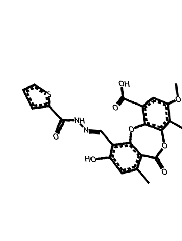 COc1cc(C(=O)O)c2c(c1C)OC(=O)c1c(C)cc(O)c(C=NNC(=O)c3cccs3)c1O2